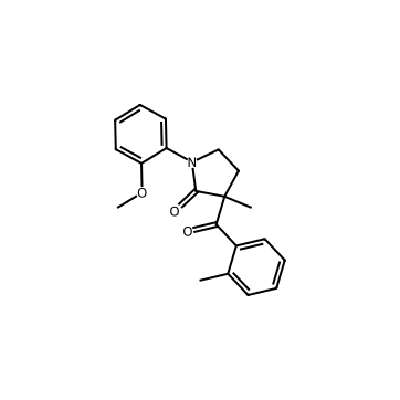 COc1ccccc1N1CCC(C)(C(=O)c2ccccc2C)C1=O